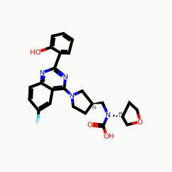 O=C(O)N(C[C@H]1CCN(c2nc(-c3ccccc3O)nc3ccc(F)cc23)C1)[C@@H]1CCOC1